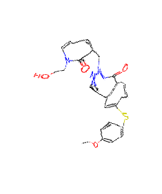 COc1ccc(Sc2ccc3c(=O)n(Cc4cccn(CCO)c4=O)ncc3c2)cc1